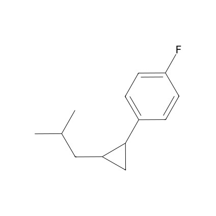 CC(C)CC1CC1c1ccc(F)cc1